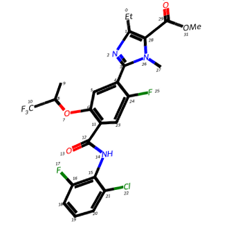 CCc1nc(-c2cc(OC(C)C(F)(F)F)c(C(=O)Nc3c(F)cccc3Cl)cc2F)n(C)c1C(=O)OC